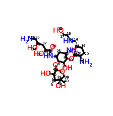 C[C@@H]1C(O)[C@@H](OC2C(O)C(O[C@H]3O[C@H](CNCCO)CCC3N)[C@@H](N)C[C@H]2NC(=O)[C@@H](O)C[C@@H](O)CN)OCC1(C)O